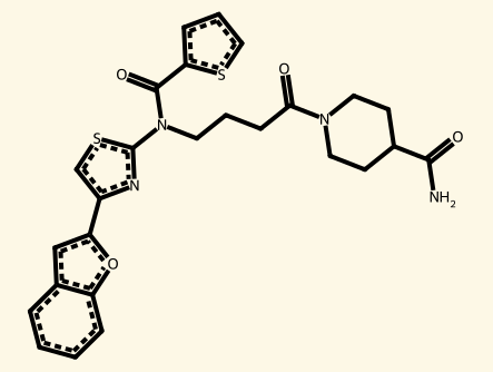 NC(=O)C1CCN(C(=O)CCCN(C(=O)c2cccs2)c2nc(-c3cc4ccccc4o3)cs2)CC1